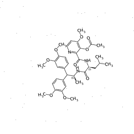 COc1ccc(C(c2ccc(OC)c(OC)c2)[C@H](C)NC(=O)[C@H](CC(C)C)NC(=O)c2nccc(OC)c2OC(C)=O)cc1OC